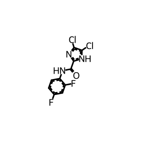 O=C(Nc1ccc(F)cc1F)c1nc(Cl)c(Cl)[nH]1